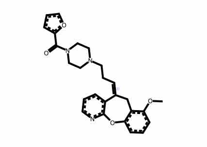 COc1cccc2c1C/C(=C/CCN1CCN(C(=O)c3ccco3)CC1)c1cccnc1O2